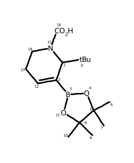 CC(C)(C)C1C(B2OC(C)(C)C(C)(C)O2)=CCCN1C(=O)O